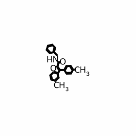 Cc1ccc(-c2c(C(=O)NCc3ccccc3)oc3ccc(C)cc23)cc1